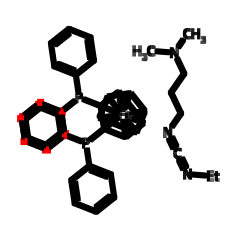 CCN=C=NCCCN(C)C.c1ccc(P(c2ccccc2)[C]23[CH]4[CH]5[CH]6[C]2(P(c2ccccc2)c2ccccc2)[Fe]54632789[CH]3[CH]2[CH]7[CH]8[CH]39)cc1